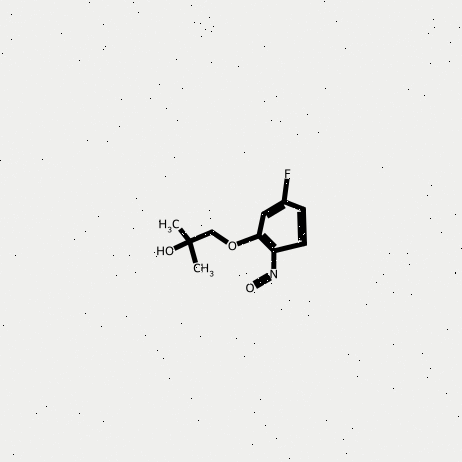 CC(C)(O)COc1cc(F)ccc1N=O